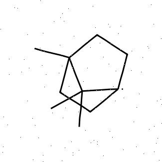 CC12CC[C](CC1)C2(C)C